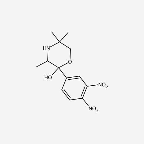 CC1NC(C)(C)COC1(O)c1ccc([N+](=O)[O-])c([N+](=O)[O-])c1